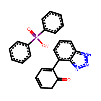 O=C1CC=CC=C1c1cccc2[nH]nnc12.O=P(O)(c1ccccc1)c1ccccc1